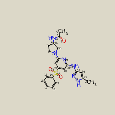 CC(=O)N[C@@H]1CCN(c2cc(S(=O)(=O)c3ccccc3)cc(Nc3cc(C)[nH]n3)n2)C1